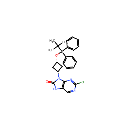 CC(C)(C)[Si](O[C@H]1C[C@H](n2c(=O)[nH]c3cnc(Cl)nc32)C1)(c1ccccc1)c1ccccc1